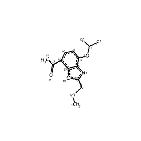 COCc1nc2c(OC(F)F)ccc(C(C)=O)c2o1